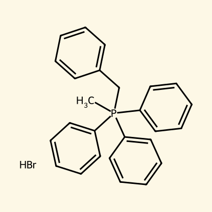 Br.CP(Cc1ccccc1)(c1ccccc1)(c1ccccc1)c1ccccc1